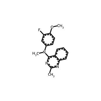 COc1ccc(N(C)c2nc(C)nc3ccccc23)cc1F